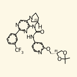 CC1(C)OC[C@@H](COc2cc(NC(=O)N3c4nc(-c5cccc(C(F)(F)F)c5)ncc4N4CC[C@H]3C4)ccn2)O1